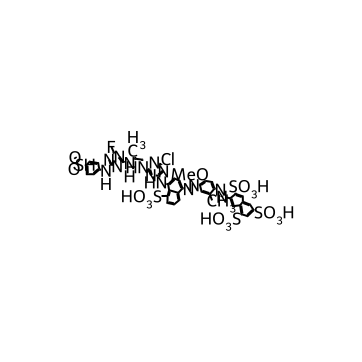 COc1cc(N=Nc2cc3c(S(=O)(=O)O)cc(S(=O)(=O)O)cc3cc2S(=O)(=O)O)c(C)cc1N=Nc1ccc(Nc2nc(Cl)nc(NCC(C)Nc3nc(F)nc(Nc4ccc([SH](=O)=O)cc4)n3)n2)c2c(S(=O)(=O)O)cccc12